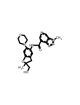 Cn1nnc2c(C(=O)Nc3cc4c(cc3N3CCOCC3)OC(C)(CO)C4)cncc21